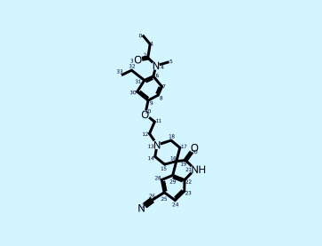 CCC(=O)N(C)c1ccc(OCCN2CCC3(CC2)C(=O)Nc2ccc(C#N)cc23)cc1CC